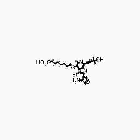 CCn1c(-c2nonc2N)nc2c(C#CC(C)(C)O)ncc(OCCCCCCCC(=O)O)c21